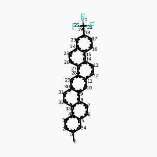 Cc1ccc2c(ccc3c4cc5ccc6c7ccc(C(F)(F)F)cc7ccc6c5cc4ccc23)c1